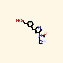 CC(=O)N(CC1CCN1)c1cncc(Cc2cccc(CCO)c2)c1